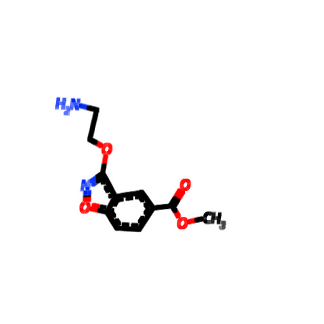 COC(=O)c1ccc2onc(OCCN)c2c1